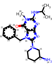 CC(C)Nc1nc2nc(N3CCCC(N)C3)n(Cc3ccccc3)c2c(=O)n1C